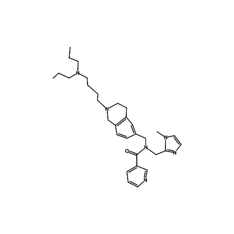 CCCN(CCC)CCCCN1CCc2cc(CN(Cc3nccn3C)C(=O)c3cccnc3)ccc2C1